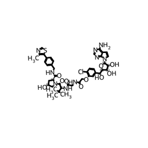 Cc1ncsc1-c1ccc(CNC(=O)[C@@H]2C[C@@H](O)CN2C(=O)[C@@H](NC(=O)CNC(=O)COc2cc([C@@H](O)[C@H]3O[C@@H](n4ccc5c(N)ncnc54)[C@H](O)[C@@H]3O)ccc2Cl)C(C)(C)C)cc1